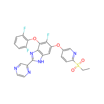 CCS(=O)(=O)c1ccc(Oc2cc3[nH]c(-c4cnccn4)nc3c(Oc3c(F)cccc3F)c2F)cn1